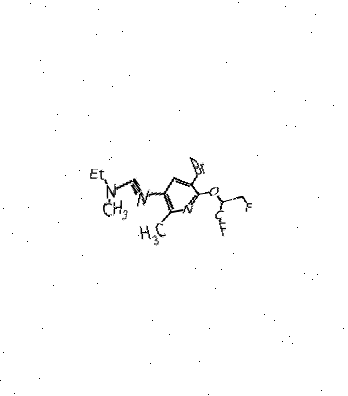 CCN(C)/C=N/c1cc(Br)c(OC(CF)CF)nc1C